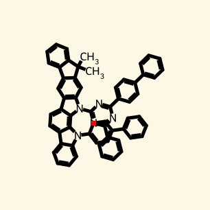 CC1(C)c2ccccc2-c2cc3c4ccc5c6ccccc6n(-c6ccc(-c7ccccc7)cc6)c5c4n(-c4nc(-c5ccccc5)nc(-c5ccc(-c6ccccc6)cc5)n4)c3cc21